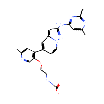 Cc1cc(-c2ccn3nc(Nc4cc(C)nc(C)n4)cc3c2)c(OCCNC(=O)O)cn1